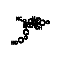 C[C@]12C=CC(=O)C=C1CC[C@H]1[C@@H]3CC[C@@](OC(=O)c4ccc(Oc5ccc(O)cc5)cc4)(C(=O)OCC#N)[C@@]3(C)C[C@H](O)C12F